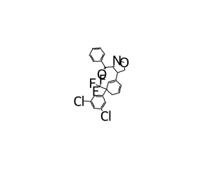 O=C(C1=NOCC1C1=CC(c2cc(Cl)cc(Cl)c2)(C(F)(F)F)CC=C1)c1ccccc1